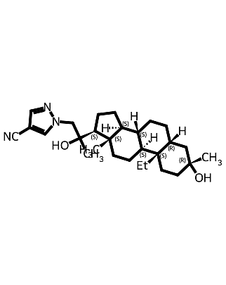 CC[C@]12CC[C@@](C)(O)C[C@H]1CC[C@H]1[C@@H]3CC[C@H](C(C)(O)Cn4cc(C#N)cn4)[C@@]3(C)CC[C@@H]12